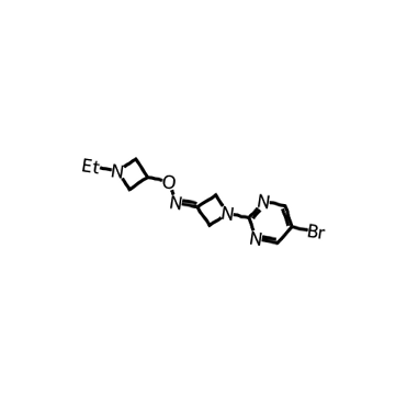 CCN1CC(ON=C2CN(c3ncc(Br)cn3)C2)C1